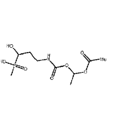 CC(OC(=O)NCCC(O)P(C)(=O)O)OC(=O)C(C)(C)C